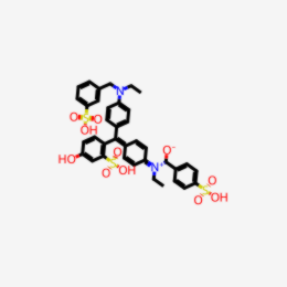 CCN(Cc1cccc(S(=O)(=O)O)c1)c1ccc(C(=C2C=CC(=[N+](CC)C([O-])c3ccc(S(=O)(=O)O)cc3)C=C2)c2ccc(O)cc2S(=O)(=O)O)cc1